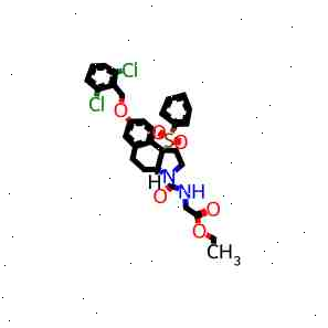 CCOC(=O)CNC(=O)N1CC[C@@]2(S(=O)(=O)c3ccccc3)c3ccc(OCc4c(Cl)cccc4Cl)cc3CC[C@@H]12